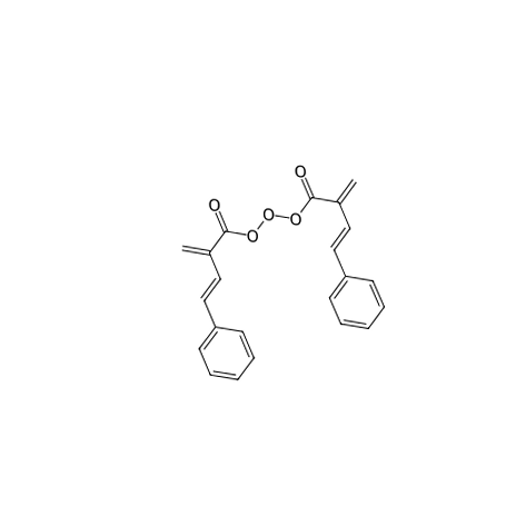 C=C(C=Cc1ccccc1)C(=O)OOOC(=O)C(=C)C=Cc1ccccc1